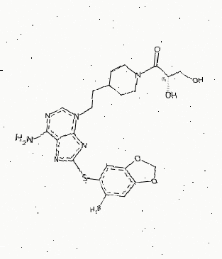 Bc1cc2c(cc1Sc1nc3c(N)ncn(CCC4CCN(C(=O)[C@@H](O)CO)CC4)c-3n1)OCO2